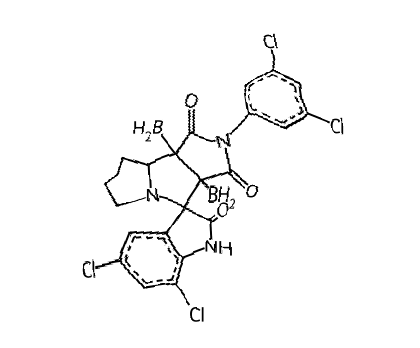 BC12C(=O)N(c3cc(Cl)cc(Cl)c3)C(=O)C1(B)C1(C(=O)Nc3c(Cl)cc(Cl)cc31)N1CCCC12